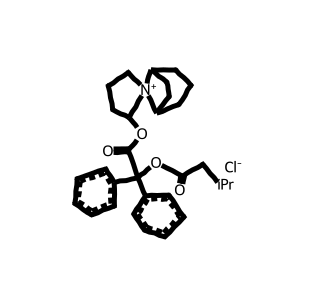 CC(C)CC(=O)OC(C(=O)OC1CCC[N+]12C1CCCC2CC1)(c1ccccc1)c1ccccc1.[Cl-]